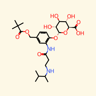 CC(C)C(C)NCCC(=O)Nc1cc(COC(=O)C(C)(C)C)ccc1O[C@H]1O[C@H](C(=O)O)[C@@H](O)[C@H](O)[C@H]1O